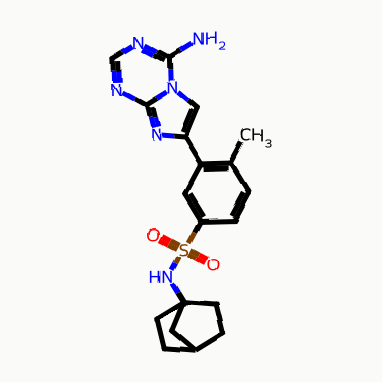 Cc1ccc(S(=O)(=O)NC23CCC(CC2)C3)cc1-c1cn2c(N)ncnc2n1